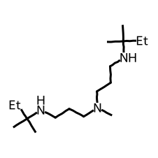 CCC(C)(C)NCCCN(C)CCCNC(C)(C)CC